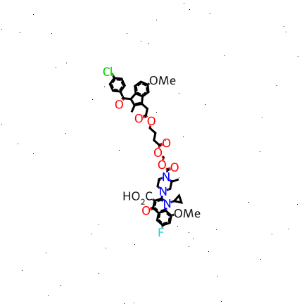 COc1ccc2c(c1)C(CC(=O)OCCCC(=O)OCOC(=O)N1CCN(c3c(C(=O)O)c(=O)c4cc(F)cc(OC)c4n3C3CC3)CC1C)=C(C)C2C(=O)c1ccc(Cl)cc1